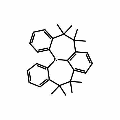 CC1(C)c2ccccc2N2c3ccccc3C(C)(C)C(C)(C)c3cccc(c32)C1(C)C